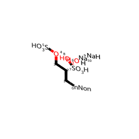 CCCCCCCCCCCCOS(=O)(=O)O.O.O=S(=O)(O)O.[NaH].[NaH]